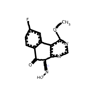 COc1ncnc2c1-c1cc(F)ccc1C(=O)/C2=N\O